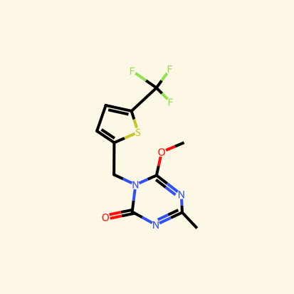 COc1nc(C)nc(=O)n1Cc1ccc(C(F)(F)F)s1